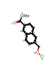 COC(=O)c1ccc2cc(COCl)ccc2c1